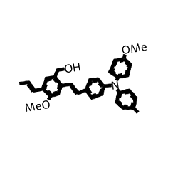 CC=Cc1cc(CO)c(C=Cc2ccc(N(c3ccc(C)cc3)c3ccc(OC)cc3)cc2)cc1OC